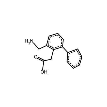 NCc1cccc(-c2ccccc2)c1CC(=O)O